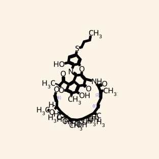 CCCCSc1cc(O)c2nc3c4c5c6c(C)c(O)c4c(=O)c(c-3oc2c1)NC(=O)/C(C)=C\C=C\[C@H](C)[C@H](O)[C@@H](C)[C@@H](O)[C@@H](C)[C@H](O)[C@H](C)[C@@H](OC)/C=C/O[C@@](C)(O6)C5=O